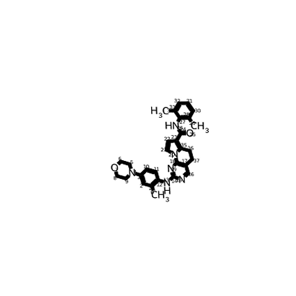 Cc1cc(N2CCOCC2)ccc1Nc1ncc2c(n1)-n1ccc(C(=O)Nc3c(C)cccc3C)c1CC2